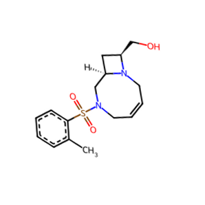 Cc1ccccc1S(=O)(=O)N1C/C=C\CN2[C@H](CO)C[C@@H]2C1